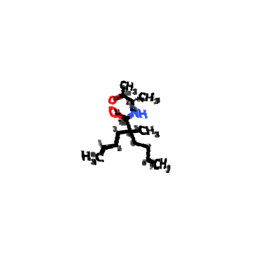 CCCCC(C)(CCCC)C(=O)N[C@@H](C)C(C)=O